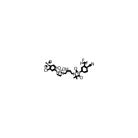 CC1(C)C(=O)N(c2ccc(C#N)c(C(F)(F)F)c2)C(=O)N1C/C=C\CN1CCN(c2ccc(S(C)(=O)=O)c(Cl)c2)S1(O)O